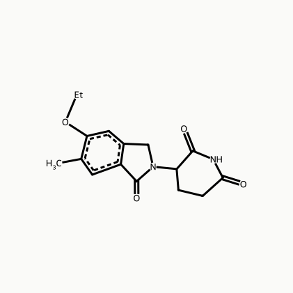 CCOc1cc2c(cc1C)C(=O)N(C1CCC(=O)NC1=O)C2